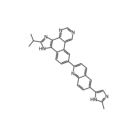 Cc1ncc(-c2ccc3nc(-c4ccc5c(c4)c4cncnc4c4nc(C(C)C)[nH]c54)ccc3c2)[nH]1